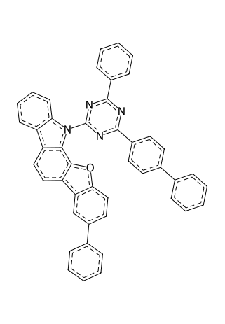 c1ccc(-c2ccc(-c3nc(-c4ccccc4)nc(-n4c5ccccc5c5ccc6c7cc(-c8ccccc8)ccc7oc6c54)n3)cc2)cc1